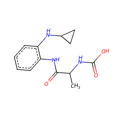 CC(NC(=O)O)C(=O)Nc1ccccc1NC1CC1